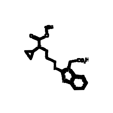 CC(C)(C)OC(=O)N(CCCSc1nc2ccccc2n1CC(=O)O)C1CC1